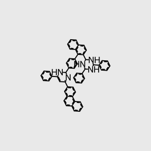 C1=C(c2ccccc2)NC(c2ccc(-c3c(C4NC(c5ccccc5)NC(c5ccccc5)N4)ccc4ccccc34)cc2)N=C1c1ccc2c(ccc3ccccc32)c1